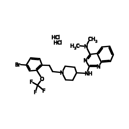 CN(C)c1nc(NC2CCN(CCc3ccc(Br)cc3OC(F)(F)F)CC2)nc2ccccc12.Cl.Cl